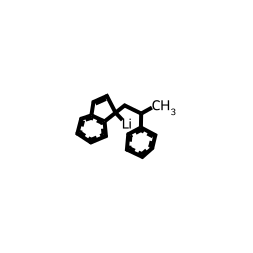 [Li][C]1(CC(C)c2ccccc2)C=Cc2ccccc21